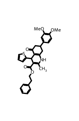 COc1ccc(C2CC(=O)C3=C(C2)NC(C)=C(C(=O)OCCc2ccccc2)C3c2cccs2)cc1OC